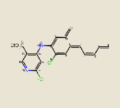 C=C\C=C/C=C\C=C(Cl)/C(=C\C=C)Nc1cc(Cl)ncc1C(=O)OCC